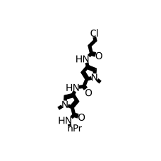 [CH2]CCNC(=O)c1cc(NC(=O)c2cc(NC(=O)CCCl)cn2C)cn1C